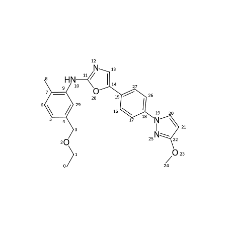 CCOCc1ccc(C)c(Nc2ncc(-c3ccc(-n4ccc(OC)n4)cc3)o2)c1